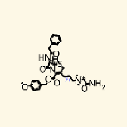 COc1ccc(COC(=O)C2=C(/C=C/C[N+](C)(C)[C@H](C)C(N)=O)CS[C@H]3[C@H](NC(=O)Cc4ccccc4)C(=O)N23)cc1